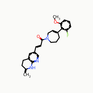 C=C1CCc2cc(/C=C/C(=O)N3CC=C(c4c(F)cccc4OC)CCC3)cnc2N1